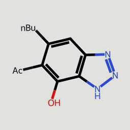 CCCCc1cc2nn[nH]c2c(O)c1C(C)=O